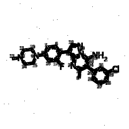 Cc1nc2c(-c3ccc(N4CCN(C)CC4)cc3F)cnn2c(N)c1-c1cccc(Cl)c1